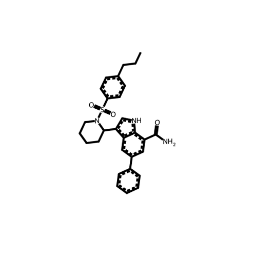 CCCc1ccc(S(=O)(=O)N2CCCCC2c2c[nH]c3c(C(N)=O)cc(-c4ccccc4)cc23)cc1